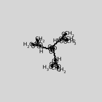 C=CC(=O)OCC(COC(=O)C=C)OC(=O)NCCCCCCn1c(=O)n(CCCCCCNC(=O)OC(COC(=O)C=C)COC(=O)C(=C)C)c(=O)n(CCCCCCNC(=O)OC(COC(=O)C=C)COC(=O)C(=C)C)c1=O